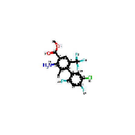 COC(=O)c1cc(C(F)(F)F)c(-c2cc(Cl)c(F)cc2F)c(C)c1N